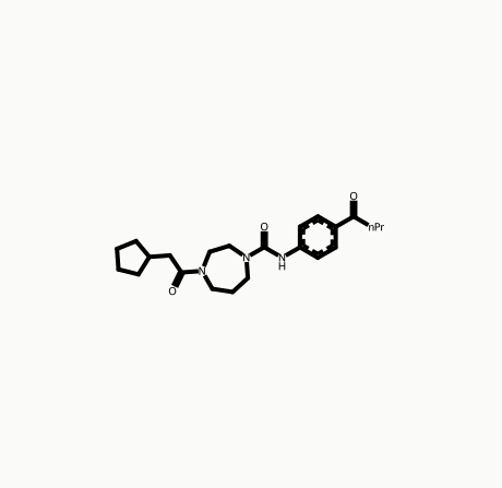 CCCC(=O)c1ccc(NC(=O)N2CCCN(C(=O)CC3CCCC3)CC2)cc1